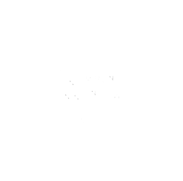 CC1CCCO1.CN1C(=O)C(NC(=O)c2nnc(Cc3ccccc3)[nH]2)COc2ccccc21